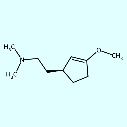 COC1=C[C@H](CCN(C)C)CC1